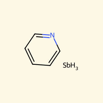 [SbH3].c1ccncc1